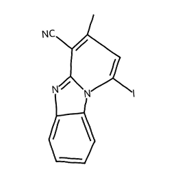 Cc1cc(I)n2c(nc3ccccc32)c1C#N